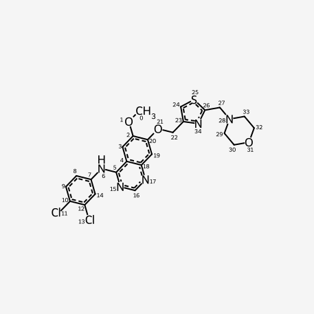 COc1cc2c(Nc3ccc(Cl)c(Cl)c3)ncnc2cc1OCc1csc(CN2CCOCC2)n1